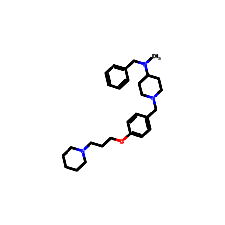 CN(Cc1ccccc1)C1CCN(Cc2ccc(OCCCN3CCCCC3)cc2)CC1